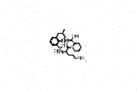 CC1CNc2c(cccc2S(=O)(=O)NC(CCCN)C(=O)N2CC[C@@H](C)C[C@@H]2C(=O)O)C1